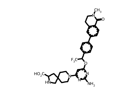 CN1CCc2cc(-c3ccc(C(Oc4cc(N5CCC6(CC5)CNC(C(=O)O)C6)nc(N)n4)C(F)(F)F)cc3)ccc2C1=O